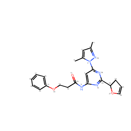 Cc1cc(C)n(-c2cc(NC(=O)CCOc3ccccc3)nc(C3CC=CO3)n2)n1